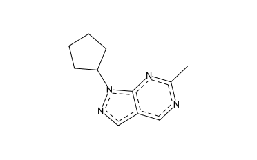 Cc1ncc2cnn(C3CCCC3)c2n1